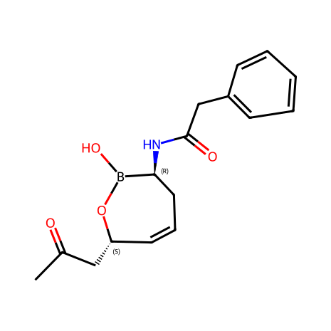 CC(=O)C[C@H]1C=CC[C@H](NC(=O)Cc2ccccc2)B(O)O1